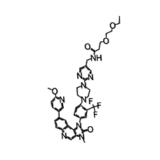 CCOCCOCCC(=O)NCc1cnc(N2CCN(c3ccc(-n4c(=O)n(C)c5cnc6ccc(-c7ccc(OC)nc7)cc6c54)cc3C(F)(F)F)CC2)nc1